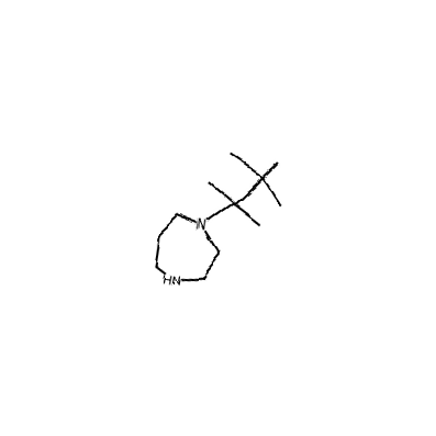 CC(C)(C)C(C)(C)N1CCCNCC1